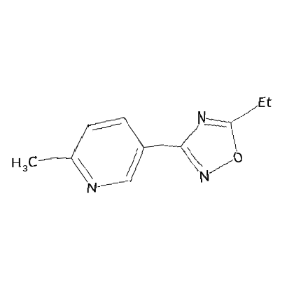 CCc1nc(-c2ccc(C)nc2)no1